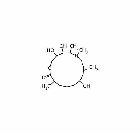 CC1CCCC(O)C[C@@H](C)CN(C)C(C)C(O)C(O)COC1=O